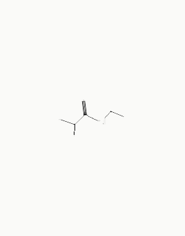 O=C(NCCl)C(Cl)Cl